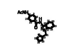 CC(=O)Nc1ccc(C(=O)Nc2nn(Cc3cccs3)c3ccccc23)cc1